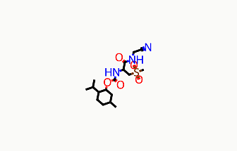 CC1CCC(C(C)C)C(OC(=O)NC(CS(C)(=O)=O)C(=O)NCC#N)C1